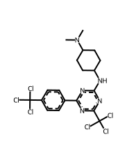 CN(C)C1CCC(Nc2nc(-c3ccc(C(Cl)(Cl)Cl)cc3)nc(C(Cl)(Cl)Cl)n2)CC1